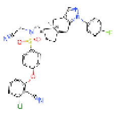 C[C@]12Cc3cnn(-c4ccc(F)cc4)c3C=C1CC[C@@H]2CN(CC#N)S(=O)(=O)c1ccc(Oc2cccc(Cl)c2C#N)cc1